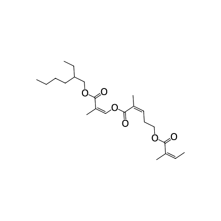 CC=C(C)C(=O)OCCC=C(C)C(=O)OC=C(C)C(=O)OCC(CC)CCCC